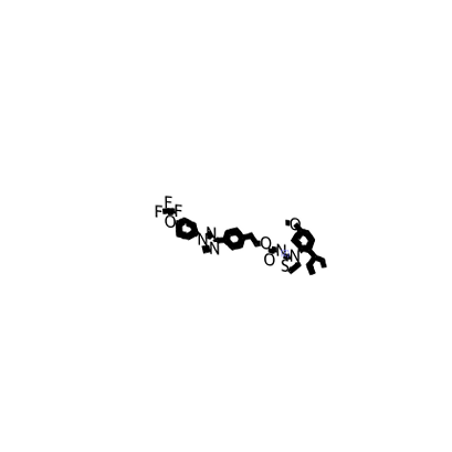 C=CC(CC)c1ccc(OC)cc1N1CCS/C1=N\C(=O)OCCc1ccc(-c2ncn(-c3ccc(OC(F)(F)F)cc3)n2)cc1